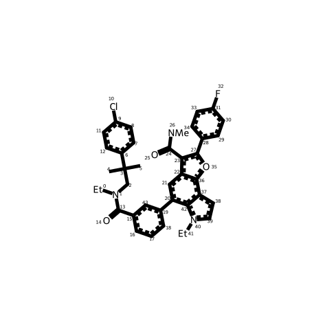 CCN(CC(C)(C)c1ccc(Cl)cc1)C(=O)c1cccc(-c2cc3c(C(=O)NC)c(-c4ccc(F)cc4)oc3c3ccn(CC)c23)c1